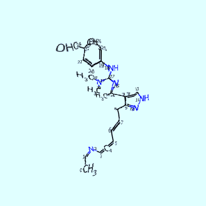 C/C=N\C=C=CC=CCc1n[nH]cc1/C(C)=N/C(NC(/C=C\C(C)C=O)=C/CC)N(C)C